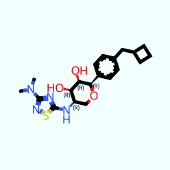 CN(C)c1nsc(N[C@@H]2CO[C@H](c3ccc(CC4CCC4)cc3)[C@H](O)[C@@H]2O)n1